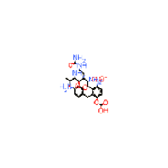 CC(C)[C@H](N)C(=O)C(CCNC(N)=O)[C@H](N)C(=O)c1c([N+](=O)[O-])ccc(OC(=O)O)c1Cc1ccc(N)cc1